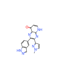 Cn1ccc(-c2nc3[nH]ccc(=O)c3nc2-c2ccc3[nH]ncc3c2)n1